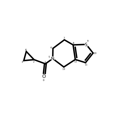 O=C(C1CC1)N1CCc2sccc2C1